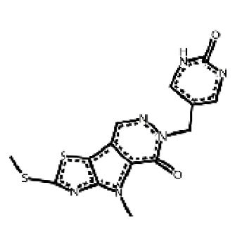 CSc1nc2c(s1)c1cnn(Cc3cnc(=O)[nH]c3)c(=O)c1n2C